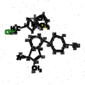 CC1=C2c3ccsc3C1[Si]2(C)C.CCC(C)c1ccc(-c2cccc3c2C=C(C)[CH]3[Zr+2])cc1.[Cl-].[Cl-]